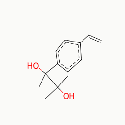 C=Cc1ccc(C(C)(O)C(C)(C)O)cc1